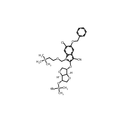 CC(C)(C)[Si](C)(C)O[C@@H]1CO[C@H]2[C@@H]1OC[C@H]2Oc1c(C#N)c2cc(OCc3ccccc3)c(Cl)cc2n1COCC[Si](C)(C)C